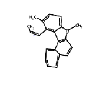 C/C=C\c1c(C)ccc2c1c1c3ccccc3ccc1n2C